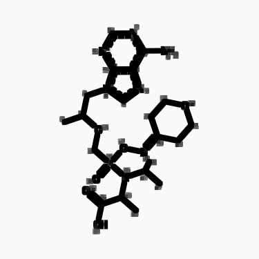 CC(Cn1cnc2c(N)ncnc21)OCP(=O)(ON=C1CCOCC1)N(C(C)C)C(C)C(=O)O